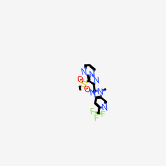 CCS(=O)(=O)c1c(-c2nc3cc(C(F)(F)F)ncc3n2C)nn2cccnc12